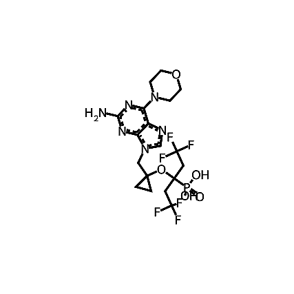 Nc1nc(N2CCOCC2)c2ncn(CC3(OC(CC(F)(F)F)(CC(F)(F)F)P(=O)(O)O)CC3)c2n1